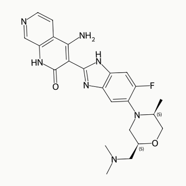 C[C@H]1CO[C@@H](CN(C)C)CN1c1cc2nc(-c3c(N)c4ccncc4[nH]c3=O)[nH]c2cc1F